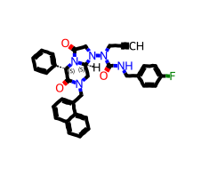 C#CCN(C(=O)NCc1ccc(F)cc1)N1CC(=O)N2[C@@H](c3ccccc3)C(=O)N(Cc3cccc4ccccc34)C[C@@H]21